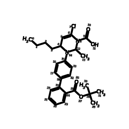 CCCCC1C=C(Cl)N(C(=O)O)C(C)N1c1ccc(-c2ccccc2C(=O)OC(C)(C)C)cc1